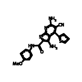 COc1ccc(NC(=O)c2sc3nc(N)c(C#N)c(-c4cccs4)c3c2N)cc1